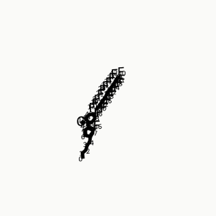 CCCCCc1ccc([C@]2([C]=O)CC[C@H](C(F)(F)C(F)(F)C(F)(F)C(F)(F)C(F)(F)C(F)(F)C(F)(F)C(F)(F)C(F)(F)F)CC2)c(F)c1